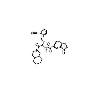 N#Cc1cccn1CCC(NS(=O)(=O)c1ccc2cc[nH]c2c1)C(=O)N1CCC2CCCCC2C1